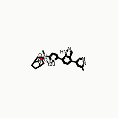 Cc1cc(-c2ccc(-c3ccc(N(C)C4CC5CCC(C4)N5C(=O)OC(C)(C)C)nn3)c3[nH]ncc23)cnn1